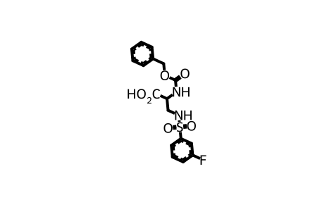 O=C(NC(CNS(=O)(=O)c1cccc(F)c1)C(=O)O)OCc1ccccc1